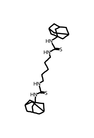 S=C(NCCCCCNC(=S)NC12CC3CC(CC(C3)C1)C2)NC12CC3CC(CC(C3)C1)C2